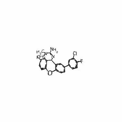 CN(C=O)/C(N)=N\C1c2cc(F)ccc2Oc2ccc(-c3ccc(F)c(Cl)c3)cc21